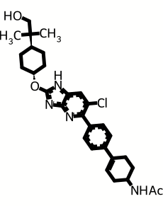 CC(=O)NC1CC=C(c2ccc(-c3nc4nc(O[C@H]5CC[C@H](C(C)(C)CO)CC5)[nH]c4cc3Cl)cc2)CC1